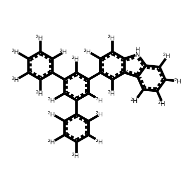 [2H]c1c([2H])c([2H])c(-c2c([2H])c(-c3c([2H])c([2H])c([2H])c([2H])c3[2H])c([2H])c(-c3c([2H])c([2H])c4[nH]c5c([2H])c([2H])c([2H])c([2H])c5c4c3[2H])c2[2H])c([2H])c1[2H]